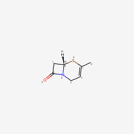 CC1=CCN2C(=O)C[C@@H]2S1